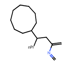 C=NC(=C)CC(CCC)C1CCCCCCCC1